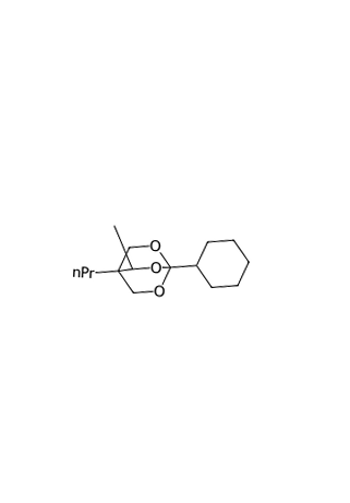 CCCC12COC(C3CCCCC3)(OC1)OC2C